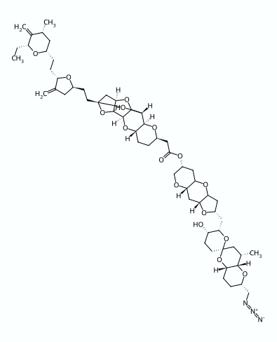 C=C1C[C@H](CC[C@@]23C[C@H]4OC5[C@@H](O[C@H]6CC[C@H](CC(=O)O[C@H]7CO[C@H]8C[C@H]9O[C@@H](C[C@@H]%10O[C@@]%11(CC[C@@H]%10O)C[C@H](C)[C@@H]%10O[C@H](CN=[N+]=[N-])CC[C@@H]%10O%11)CC9OC8C7)O[C@@H]6[C@@H]5O2)[C@H]4O3)O[C@H]1CC[C@H]1C[C@@H](C)C(=C)[C@@H](CC)O1